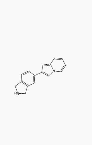 c1ccn2cc(-c3ccc4c(c3)CNC4)cc2c1